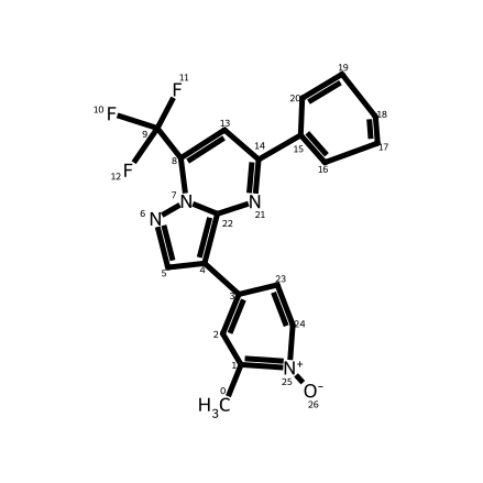 Cc1cc(-c2cnn3c(C(F)(F)F)cc(-c4ccccc4)nc23)cc[n+]1[O-]